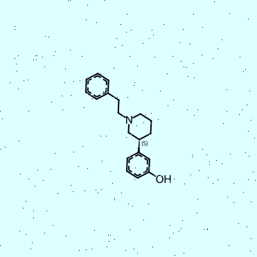 Oc1cccc([C@@H]2CCCN(CCc3ccccc3)C2)c1